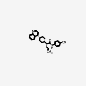 C=CC[C@@H](C(=O)Nc1ccc(C#N)cc1)[C@H]1CC[C@@H](c2ccnc3ccccc32)CC1